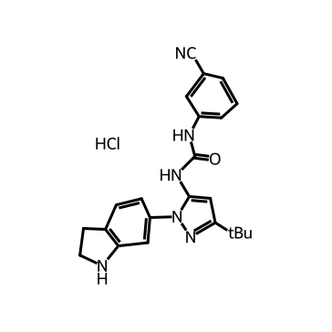 CC(C)(C)c1cc(NC(=O)Nc2cccc(C#N)c2)n(-c2ccc3c(c2)NCC3)n1.Cl